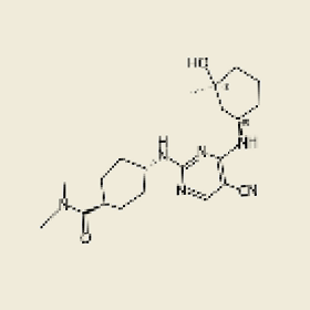 CN(C)C(=O)[C@H]1CC[C@H](Nc2ncc(C#N)c(N[C@@H]3CCC[C@](C)(O)C3)n2)CC1